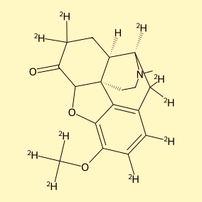 [2H]c1c([2H])c2c3c(c1OC([2H])([2H])[2H])OC1C(=O)C([2H])([2H])C[C@@H]4[C@@]31CCN(C)[C@]4([2H])C2([2H])[2H]